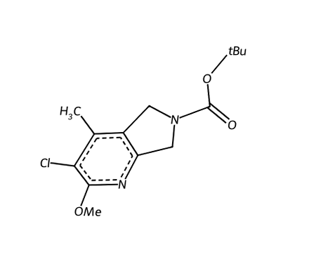 COc1nc2c(c(C)c1Cl)CN(C(=O)OC(C)(C)C)C2